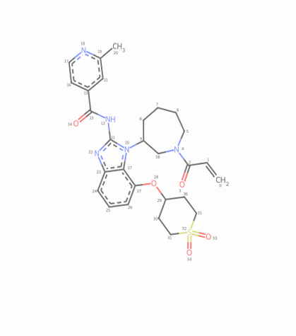 C=CC(=O)N1CCCCC(n2c(NC(=O)c3ccnc(C)c3)nc3cccc(OC4CCS(=O)(=O)CC4)c32)C1